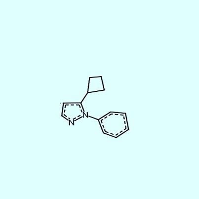 [c]1cnn(-c2ccccc2)c1C1CCC1